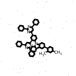 Cc1ccc(-c2ccc3c(c2)c2ccccc2n3-c2ccc(-c3cc(-c4ccccc4)nc(-c4ccccc4)n3)cc2-c2cc(-c3ccccc3)nc(-c3ccccc3)n2)c(C)c1